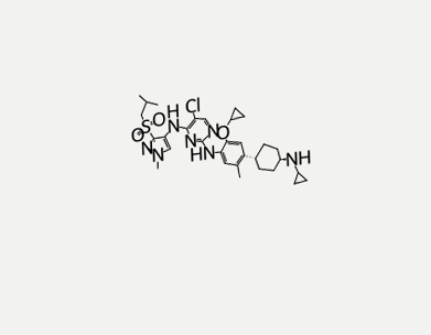 Cc1cc(Nc2ncc(Cl)c(Nc3cn(C)nc3S(=O)(=O)CC(C)C)n2)c(OC2CC2)cc1[C@H]1CC[C@H](NC2CC2)CC1